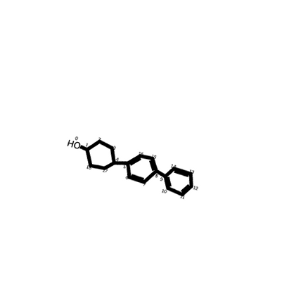 OC1CCC(c2ccc(-c3ccccc3)cc2)CC1